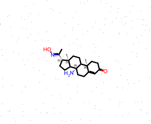 C/C(=N\O)[C@H]1CCC2[C@]3(N)CCC4=CC(=O)CC[C@]4(C)C3CC[C@@]21C